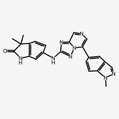 Cn1ncc2cc(-c3cncc4nc(Nc5ccc6c(c5)NC(=O)C6(C)C)nn34)ccc21